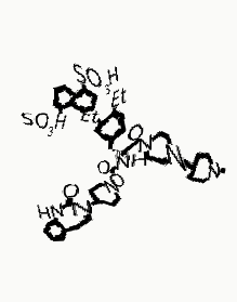 CCc1ccc(C[C@@H](NC(=O)ON2CCC(N3CCc4ccccc4NC3=O)CC2)C(=O)N2CCN(C3CCN(C)CC3)CC2)cc1CC.O=S(=O)(O)c1cccc2c(S(=O)(=O)O)cccc12